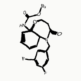 CC(C)(C)OC(=O)NC12C=CC=CC1N(Cc1cc(F)cc(F)c1)C(=O)CCO2